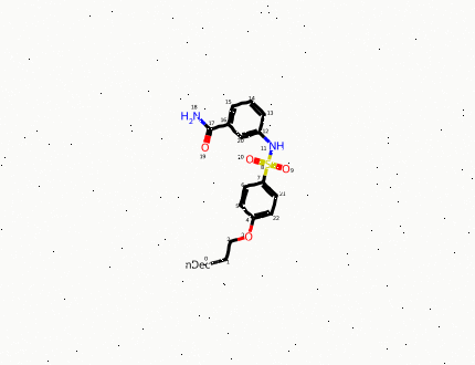 CCCCCCCCCCCCOc1ccc(S(=O)(=O)Nc2cccc(C(N)=O)c2)cc1